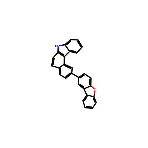 c1ccc2c(c1)[nH]c1ccc3ccc(-c4ccc5oc6ccccc6c5c4)cc3c12